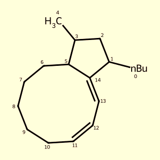 CCCCC1CC(C)C2CCCCCC=CC=C12